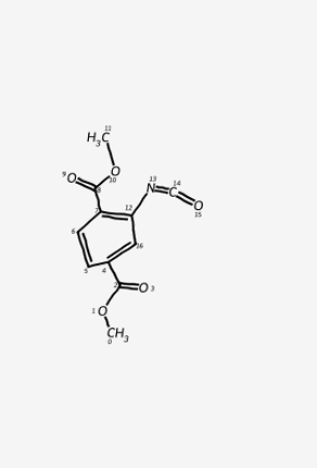 COC(=O)c1ccc(C(=O)OC)c(N=C=O)c1